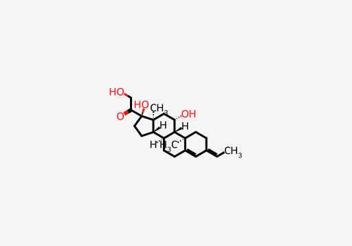 C/C=C1/C=C2CC[C@@H]3[C@H]([C@@H](O)C[C@@]4(C)[C@H]3CC[C@]4(O)C(=O)CO)[C@@]2(C)CC1